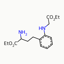 CCOC(=O)CNc1ccccc1CCC(N)C(=O)OCC